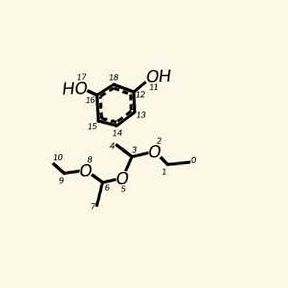 CCOC(C)OC(C)OCC.Oc1cccc(O)c1